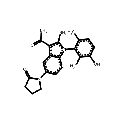 Cc1ccc(O)c(C)c1-n1c(N)c(C(N)=O)c2cc(N3CCCC3=O)cnc21